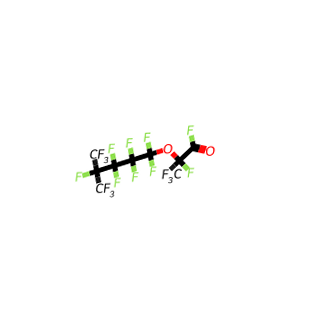 O=C(F)C(F)(OC(F)(F)C(F)(F)C(F)(F)C(F)(C(F)(F)F)C(F)(F)F)C(F)(F)F